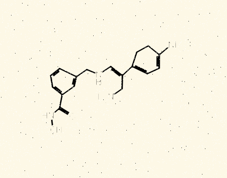 CNC(=O)c1cccc(CN/C=C(\CN)C2=CC=C(N)CC2)c1